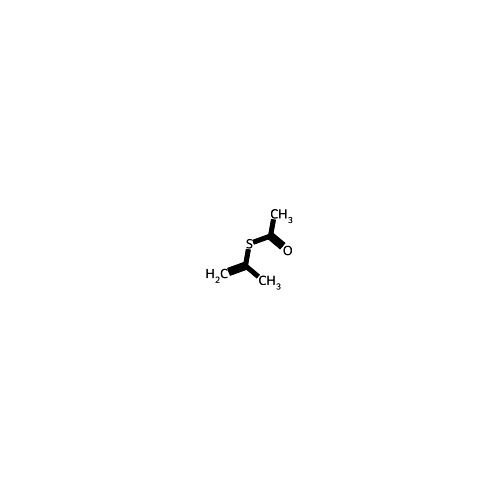 C=C(C)SC(C)=O